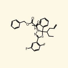 C=CCC(CC)C1(c2ccccc2NC(=O)OCc2ccccc2)SC(c2cc(F)ccc2F)=NN1C(C)=O